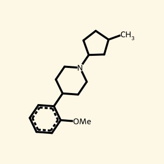 COc1ccccc1C1CCN(C2CCC(C)C2)CC1